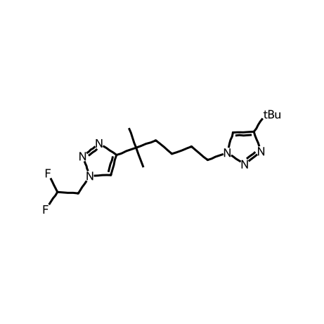 CC(C)(C)c1cn(CCCCC(C)(C)c2cn(CC(F)F)nn2)nn1